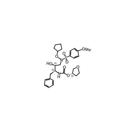 COc1ccc(S(=O)(=O)N(C[C@H](O)[C@H](Cc2ccccc2)NC(=O)O[C@H]2CCOC2)OC2CCCC2)cc1